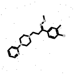 CON=C(CCN1CCN(c2ccccn2)CC1)c1ccc(Cl)c(C)c1